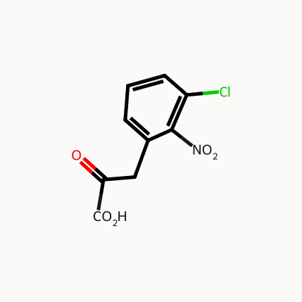 O=C(O)C(=O)Cc1cccc(Cl)c1[N+](=O)[O-]